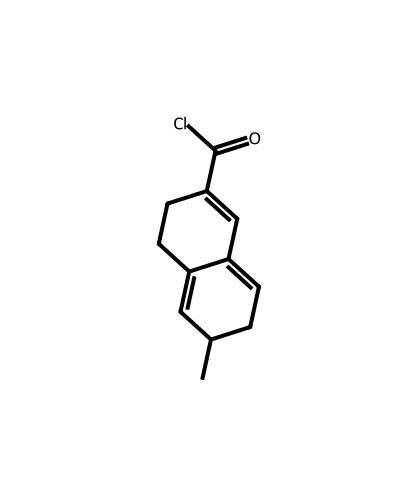 CC1C=C2CCC(C(=O)Cl)=CC2=CC1